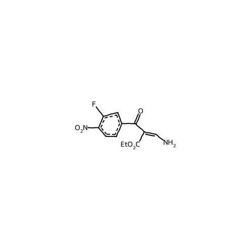 CCOC(=O)/C(=C\N)C(=O)c1ccc([N+](=O)[O-])c(F)c1